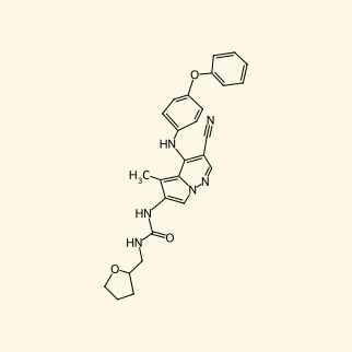 Cc1c(NC(=O)NCC2CCCO2)cn2ncc(C#N)c(Nc3ccc(Oc4ccccc4)cc3)c12